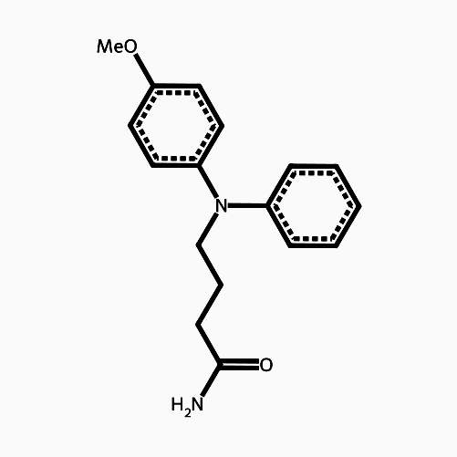 COc1ccc(N(CCCC(N)=O)c2ccccc2)cc1